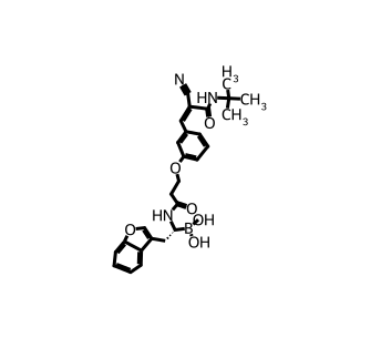 CC(C)(C)NC(=O)C(C#N)=Cc1cccc(OCCC(=O)N[C@@H](Cc2coc3ccccc23)B(O)O)c1